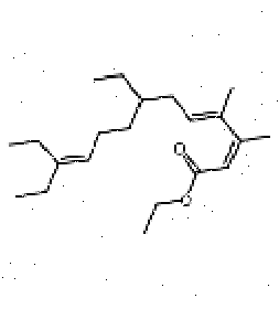 CCOC(=O)C=C(C)C(C)=CCC(CC)CCC=C(CC)CC